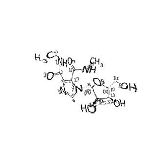 CNC(=O)c1ncn([C@@H]2O[C@H](CO)[C@@H](O)[C@H]2O)c1C(=O)NC